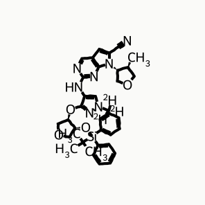 [2H]C([2H])([2H])n1cc(Nc2ncc3cc(C#N)n([C@H]4COC[C@@H]4C)c3n2)c(O[C@@H]2COC[C@H]2O[Si](c2ccccc2)(c2ccccc2)C(C)(C)C)n1